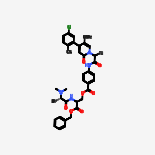 CCC(C(=O)Nc1ccc(C(=O)OC[C@H](NC(=O)[C@H](C(C)C)N(C)C)C(=O)OCc2ccccc2)cc1)n1cc(OC)c(-c2cc(Cl)ccc2C#N)cc1=O